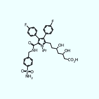 CC(C)n1c(CC[C@@H](O)C[C@@H](O)CC(=O)O)c(-c2ccc(F)cc2)c(-c2ccc(F)cc2)c1C(=O)NCc1ccc(S(N)(=O)=O)cc1